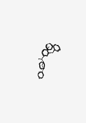 CC(COCc1ccccc1)c1ccc2c(c1)Cc1ccccc1O2